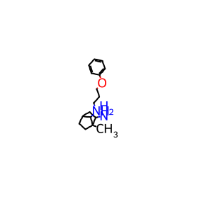 CC12CCC(CC1N)C2NCCCOc1ccccc1